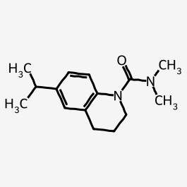 CC(C)c1ccc2c(c1)CCCN2C(=O)N(C)C